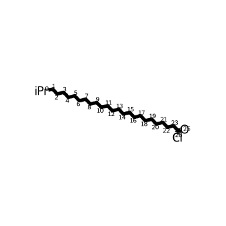 CC(C)CCCCCCCCCCCCCCCCCCCCCCCC(=O)Cl